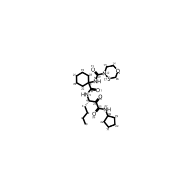 CCCC[C@H](NC(=O)C1(NC(=O)N2CCOCS2)CCCCC1)C(=O)C(=O)NC1CCCC1